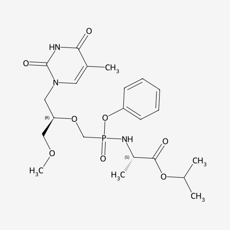 COC[C@@H](Cn1cc(C)c(=O)[nH]c1=O)OCP(=O)(N[C@@H](C)C(=O)OC(C)C)Oc1ccccc1